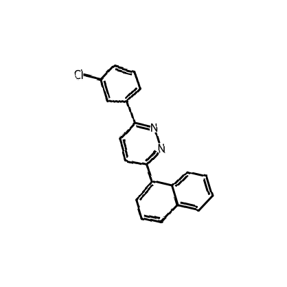 Clc1cccc(-c2ccc(-c3cccc4ccccc34)nn2)c1